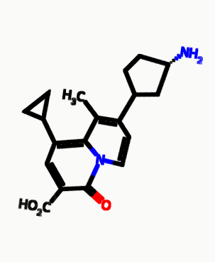 Cc1c(C2CC[C@H](N)C2)ccn2c(=O)c(C(=O)O)cc(C3CC3)c12